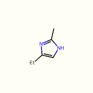 C[CH]c1c[nH]c(C)n1